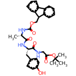 C[C@H](NC(=O)OCC1c2ccccc2-c2ccccc21)C(=O)N[C@@H](Cc1ccc(O)cc1)C(=O)NCC(=O)OC(C)(C)C